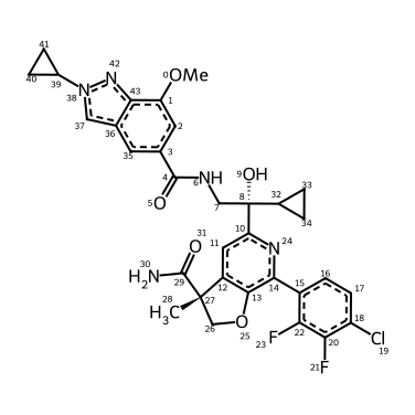 COc1cc(C(=O)NC[C@](O)(c2cc3c(c(-c4ccc(Cl)c(F)c4F)n2)OC[C@]3(C)C(N)=O)C2CC2)cc2cn(C3CC3)nc12